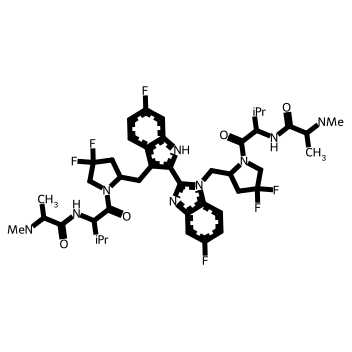 CNC(C)C(=O)NC(C(=O)N1CC(F)(F)CC1Cc1c(-c2nc3cc(F)ccc3n2CC2CC(F)(F)CN2C(=O)C(NC(=O)C(C)NC)C(C)C)[nH]c2cc(F)ccc12)C(C)C